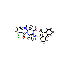 CC(CNC(=O)O)n1c([C@H](C)NC(=O)OCC2c3ccccc3-c3ccccc32)nc2cccc(Cl)c2c1=O